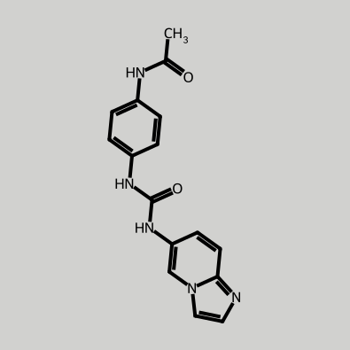 CC(=O)Nc1ccc(NC(=O)Nc2ccc3nccn3c2)cc1